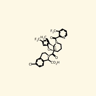 C=CC[C@H]1N(C(=O)c2ncccc2C(F)(F)F)CCC[C@]1(Oc1csc(C(F)(F)F)c1)C(=O)N1CCc2cc(Cl)ccc2C1C(=O)O